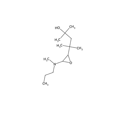 CCCN(C)C1OC1C(C)(C)CC(C)(C)O